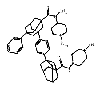 CN1CCC(NC(=O)C23CC4CC(C2)CC(c2ccc(C56CC7CC(C(=O)N(C)C8CCN(C)CC8)(CC(c8ccccc8)(C7)C5)C6)cc2)(C4)C3)CC1